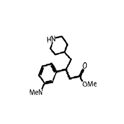 CNc1cccc(C(CC(=O)OC)CC2CCNCC2)c1